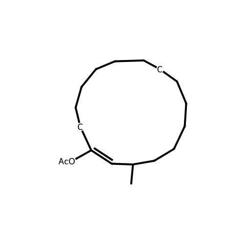 CC(=O)OC1=CC(C)CCCCCCCCCCCC1